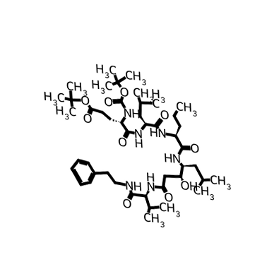 CCC[C@H](NC(=O)[C@H](CC(C)C)NC(=O)[C@H](CCC(=O)OC(C)(C)C)NC(=O)OC(C)(C)C)C(=O)N[C@@H](CC(C)C)[C@@H](O)CC(=O)N[C@H](C(=O)NCCc1ccccc1)C(C)C